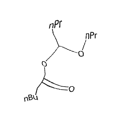 CCCCC(=O)OC(CCC)OCCC